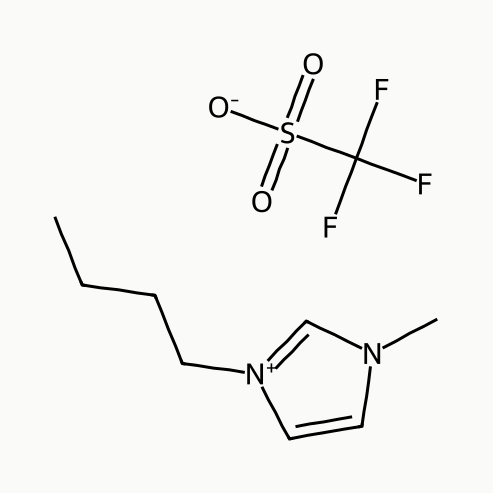 CCCC[n+]1ccn(C)c1.O=S(=O)([O-])C(F)(F)F